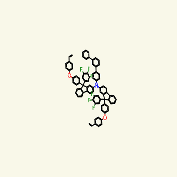 C=Cc1ccc(Oc2ccc(C3(c4cc(F)c(F)c(F)c4)c4ccccc4-c4ccc(N(c5ccc(-c6cccc(-c7ccccc7)c6)cc5)c5ccc6c(c5)C(c5ccc(Oc7ccc(C=C)cc7)cc5)(c5cc(F)c(F)c(F)c5)c5ccccc5-6)cc43)cc2)cc1